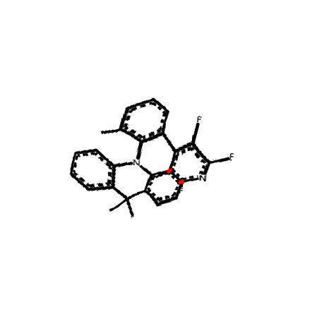 Cc1cccc(-c2c(F)c(F)nc(F)c2F)c1N1c2ccccc2C(C)(C)c2ccccc21